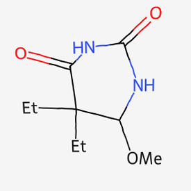 CCC1(CC)C(=O)NC(=O)NC1OC